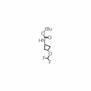 CC(C)(C)OC(=O)N[C@H]1C[C@@H](OC(F)F)C1